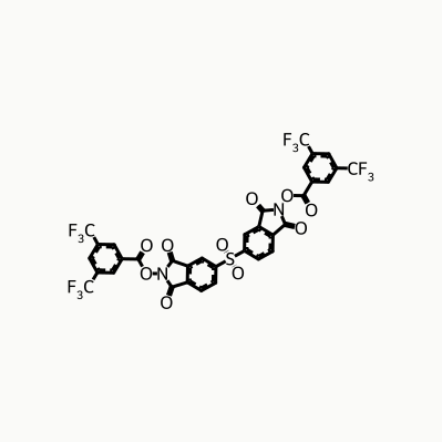 O=C(ON1C(=O)c2ccc(S(=O)(=O)c3ccc4c(c3)C(=O)N(OC(=O)c3cc(C(F)(F)F)cc(C(F)(F)F)c3)C4=O)cc2C1=O)c1cc(C(F)(F)F)cc(C(F)(F)F)c1